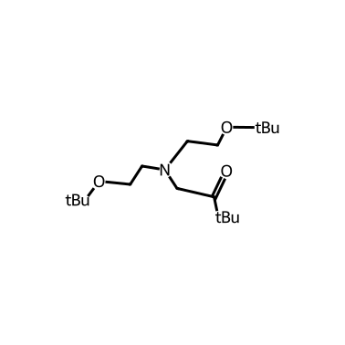 CC(C)(C)OCCN(CCOC(C)(C)C)CC(=O)C(C)(C)C